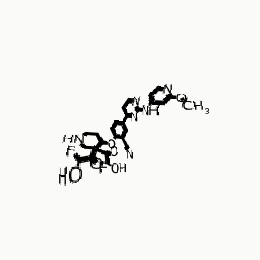 COc1cc(Nc2nccc(-c3ccc(OC4CCNCC4(C(=O)[C@@H](O)F)C(=O)[C@@H](O)F)c(C#N)c3)n2)ccn1